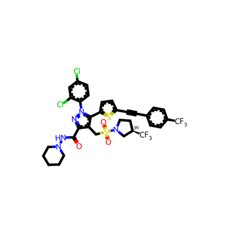 O=C(NN1CCCCC1)c1nn(-c2ccc(Cl)cc2Cl)c(-c2ccc(C#Cc3ccc(C(F)(F)F)cc3)s2)c1CS(=O)(=O)N1CC[C@@H](C(F)(F)F)C1